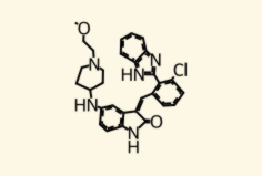 COCCN1CCC(Nc2ccc3c(c2)/C(=C/c2cccc(Cl)c2-c2nc4ccccc4[nH]2)C(=O)N3)CC1